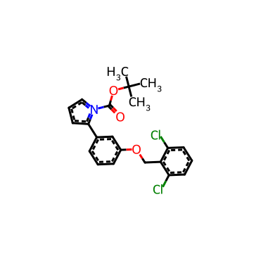 CC(C)(C)OC(=O)n1cccc1-c1cccc(OCc2c(Cl)cccc2Cl)c1